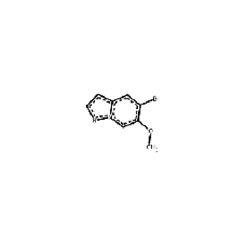 COc1cn2nccc2cc1Br